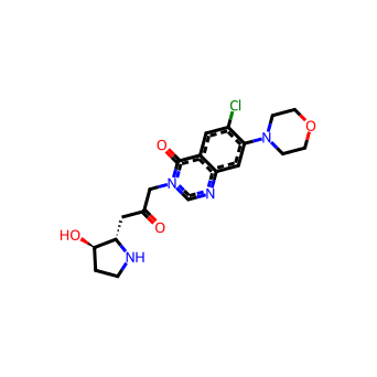 O=C(C[C@@H]1NCC[C@H]1O)Cn1cnc2cc(N3CCOCC3)c(Cl)cc2c1=O